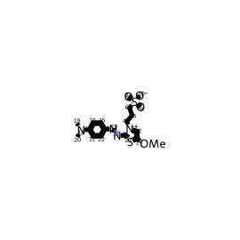 COc1c[n+](CCCS(=O)(=O)[O-])c(/N=N/c2ccc(N(C)C)cc2)s1